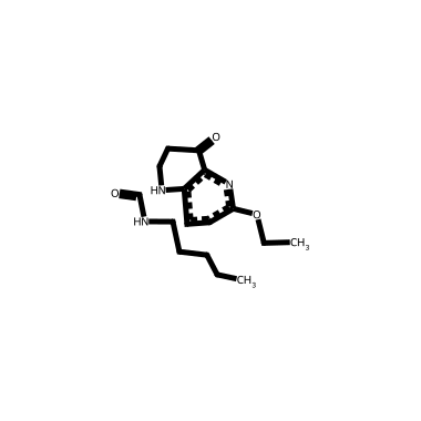 CCCCCNC=O.CCOc1ccc2c(n1)C(=O)CCN2